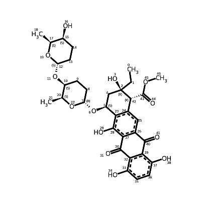 CC[C@@]1(O)C[C@H](O[C@H]2CC[C@H](O[C@H]3CC[C@H](O)[C@H](C)O3)[C@H](C)O2)c2c(cc3c(c2O)C(=O)c2c(O)ccc(O)c2C3=O)[C@H]1C(=O)OC